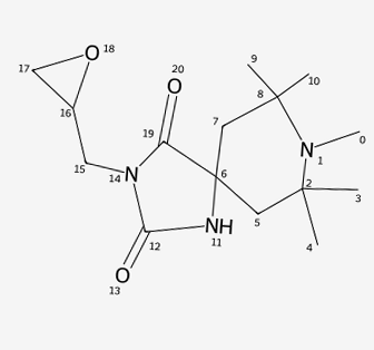 CN1C(C)(C)CC2(CC1(C)C)NC(=O)N(CC1CO1)C2=O